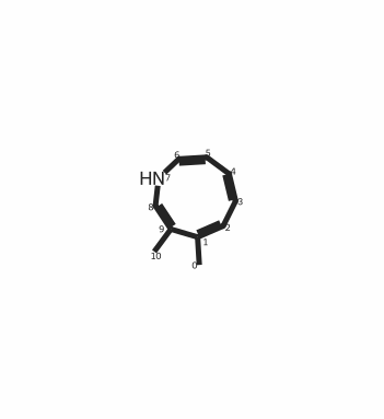 Cc1ccccc[nH]cc1C